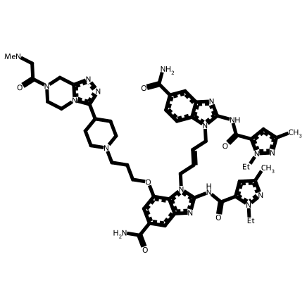 CCn1nc(C)cc1C(=O)Nc1nc2cc(C(N)=O)ccc2n1C/C=C/Cn1c(NC(=O)c2cc(C)nn2CC)nc2cc(C(N)=O)cc(OCCCN3CCC(c4nnc5n4CCN(C(=O)CNC)C5)CC3)c21